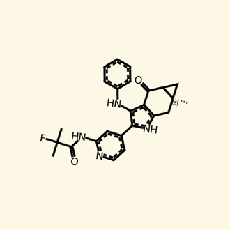 CC(C)(F)C(=O)Nc1cc(-c2[nH]c3c(c2Nc2ccccc2)C(=O)C2C[C@@]2(C)C3)ccn1